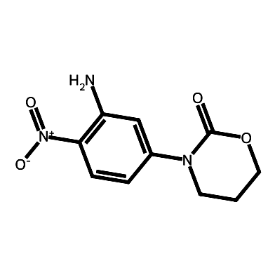 Nc1cc(N2CCCOC2=O)ccc1[N+](=O)[O-]